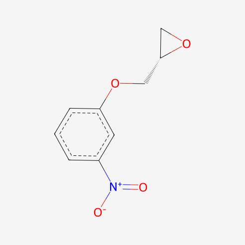 O=[N+]([O-])c1cccc(OC[C@@H]2CO2)c1